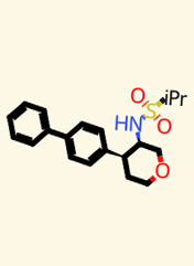 CC(C)S(=O)(=O)N[C@H]1COCC[C@H]1c1ccc(-c2ccccc2)cc1